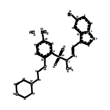 CN(N=Cc1cnn2ccc(Br)cc12)S(=O)(=O)c1cc([N+](=O)[O-])ccc1OCCN1CCOCC1.Cl